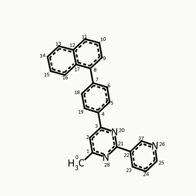 Cc1cc(-c2ccc(-c3cccc4ccccc34)cc2)nc(-c2cccnc2)n1